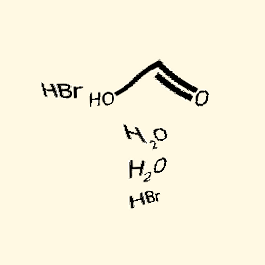 Br.Br.O.O.O=CO